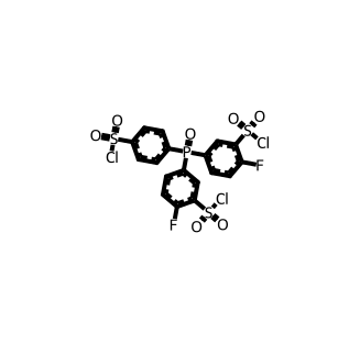 O=P(c1ccc(S(=O)(=O)Cl)cc1)(c1ccc(F)c(S(=O)(=O)Cl)c1)c1ccc(F)c(S(=O)(=O)Cl)c1